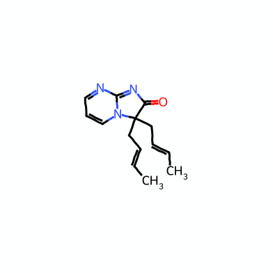 CC=CCC1(CC=CC)C(=O)N=C2N=CC=CN21